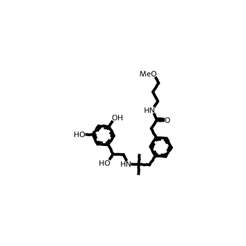 COCCCNC(=O)Cc1cccc(CC(C)(C)NCC(O)c2cc(O)cc(O)c2)c1